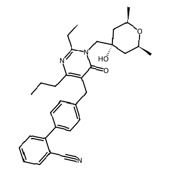 CCCc1nc(CC)n(C[C@@]2(O)C[C@@H](C)O[C@@H](C)C2)c(=O)c1Cc1ccc(-c2ccccc2C#N)cc1